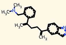 C=C(CCC(=C)c1ccccc1CN(C)C)c1ccc2[nH]ncc2c1